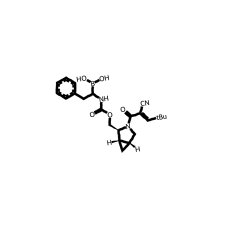 CC(C)(C)C=C(C#N)C(=O)N1C[C@@H]2C[C@@H]2[C@H]1COC(=O)NC(Cc1ccccc1)B(O)O